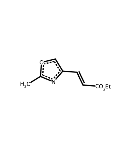 CCOC(=O)C=Cc1coc(C)n1